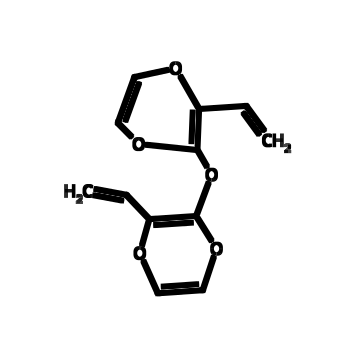 C=CC1=C(OC2=C(C=C)OC=CO2)OC=CO1